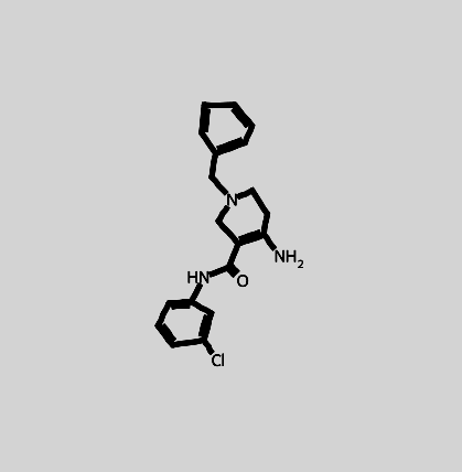 NC1=C(C(=O)Nc2cccc(Cl)c2)CN(Cc2ccccc2)CC1